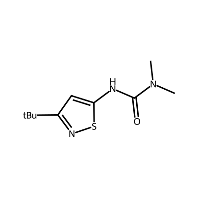 CN(C)C(=O)Nc1cc(C(C)(C)C)ns1